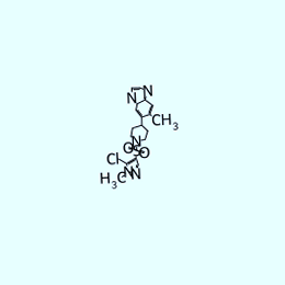 Cc1cc2nccnc2cc1C1CCN(S(=O)(=O)c2cnn(C)c2Cl)CC1